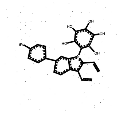 C=Cc1c(C=C)n(-c2c(O)c(O)c(O)c(O)c2O)c2cc(-c3ccc(C(C)C)cc3)ccc12